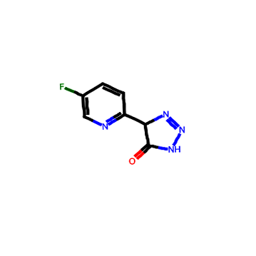 O=C1NN=NC1c1ccc(F)cn1